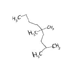 CCCCC(C)(C)CCC(C)C